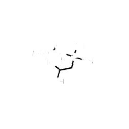 CC(O)C[N+](C)(C)C.O=C([O-])O